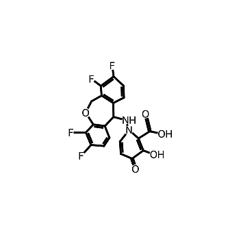 O=C(O)c1c(O)c(=O)ccn1NC1c2ccc(F)c(F)c2COc2c1ccc(F)c2F